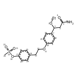 CCOC(CC(N)=O)c1ccc(OCCc2ccc(OS(C)(=O)=O)cc2)cc1